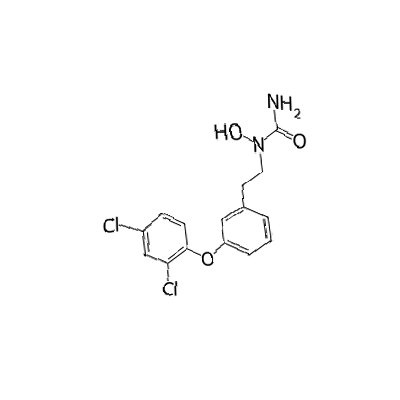 NC(=O)N(O)CCc1cccc(Oc2ccc(Cl)cc2Cl)c1